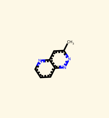 Cc1cc2ncccc2nn1